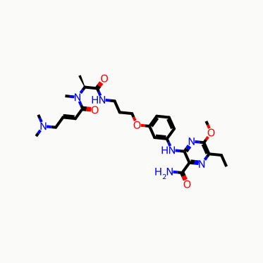 CCc1nc(C(N)=O)c(Nc2cccc(OCCCNC(=O)[C@H](C)N(C)C(=O)/C=C/CN(C)C)c2)nc1OC